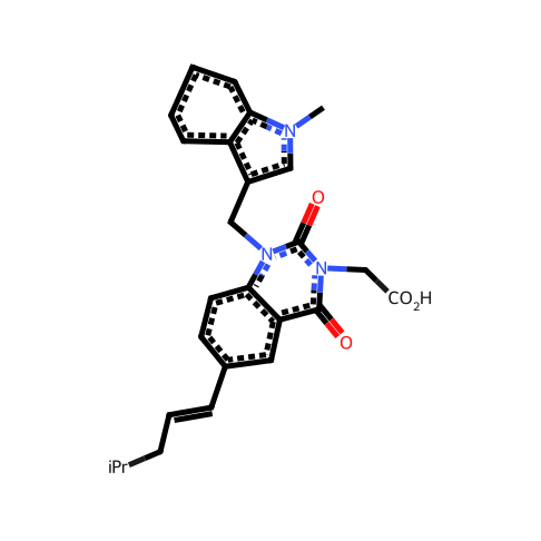 CC(C)C/C=C/c1ccc2c(c1)c(=O)n(CC(=O)O)c(=O)n2Cc1cn(C)c2ccccc12